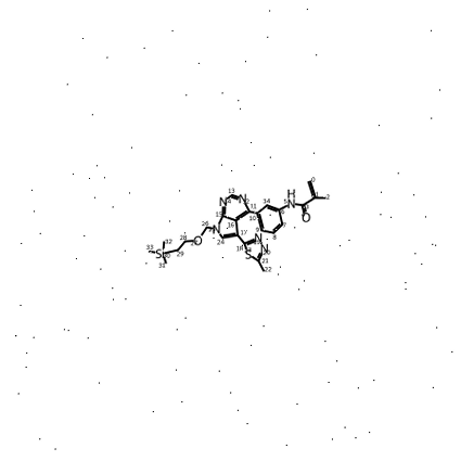 C=C(C)C(=O)Nc1cccc(-c2ncnc3c2c(-c2nnc(C)s2)cn3COCC[Si](C)(C)C)c1